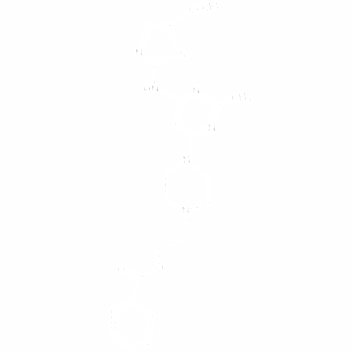 CCOC(=O)c1cnc(Nc2cc(N3CCN(CCOC(=O)c4ccccc4)CC3)nc(C)n2)s1